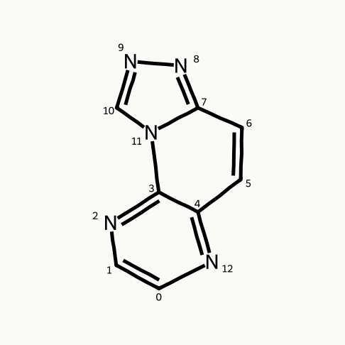 c1cnc2c(ccc3nncn32)n1